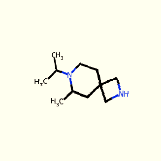 CC(C)N1CCC2(CNC2)CC1C